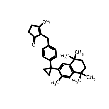 Cc1cc2c(cc1C1(c3ccc(CC4=C(O)CCC4=O)cc3)CC1)C(C)(C)CCC2(C)C